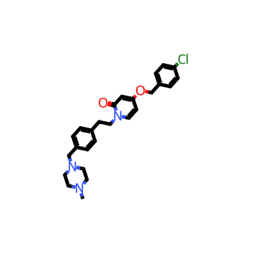 CN1CCN(Cc2ccc(CCn3ccc(OCc4ccc(Cl)cc4)cc3=O)cc2)CC1